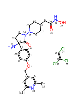 CCc1cc(COc2ccc(C3(N)CCN(N4CCC(CC(=O)NO)CC4)C3=O)cc2)cc(CC)n1.ClC=C(Cl)Cl